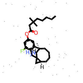 CCCCCC(C)(C)CC(=O)Oc1cc(F)c2c(c1)[C@@]1(C)CCCC[C@H]3CC3(C2)[C@@H]1N